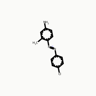 Cc1cc(N)ccc1/N=N/c1ccc(Cl)cc1